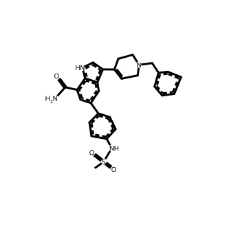 CS(=O)(=O)Nc1ccc(-c2cc(C(N)=O)c3[nH]cc(C4=CCN(Cc5ccccc5)CC4)c3c2)cc1